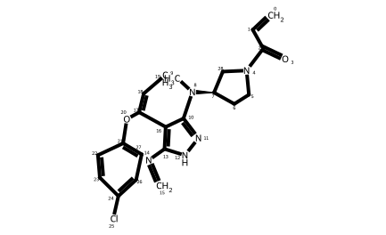 C=CC(=O)N1CC[C@@H](N(C)c2n[nH]c(N=C)c2/C(=C\C)Oc2ccc(Cl)cc2)C1